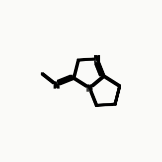 C/N=C1\CN=C2CCCN21